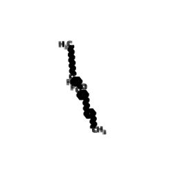 CCCCCCCCCCCCOc1ccc(C(=O)Oc2ccc(CCCCC3CCC(CCCCC)CC3)cc2)c(F)c1F